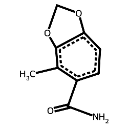 Cc1c(C(N)=O)ccc2c1OCO2